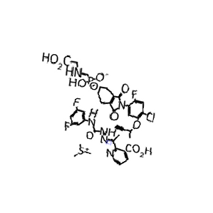 C#CC(C)Oc1cc(N2C(=O)C3=C(CCCC3)C2=O)c(F)cc1Cl.C/C(=N\NC(=O)Nc1cc(F)cc(F)c1)c1ncccc1C(=O)O.C[S+](C)C.O=C(O)CNCP(=O)([O-])O